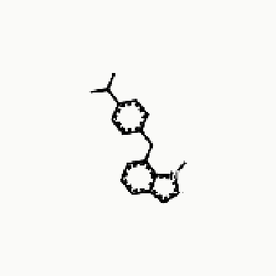 CC(C)c1ccc(Cc2cccc3c[c]n(C)c23)cc1